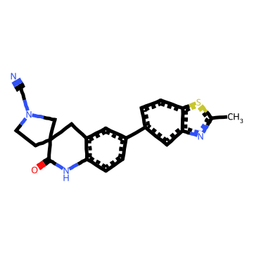 Cc1nc2cc(-c3ccc4c(c3)CC3(CCN(C#N)C3)C(=O)N4)ccc2s1